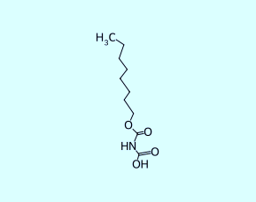 CCCCCCCCOC(=O)NC(=O)O